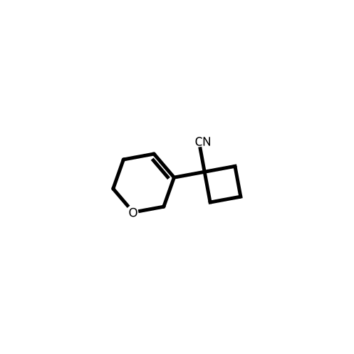 N#CC1(C2=CCCOC2)CCC1